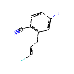 N#Cc1ccc(N)cc1CC=CF